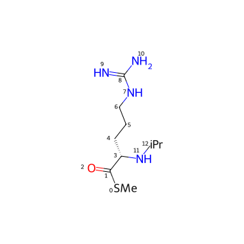 CSC(=O)[C@H](CCCNC(=N)N)NC(C)C